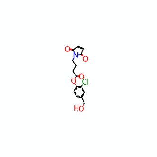 O=C(CCCN1C(=O)C=CC1=O)Oc1ccc(CO)cc1Cl